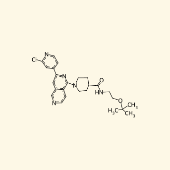 CC(C)(C)OCCNC(=O)C1CCN(c2nc(-c3ccnc(Cl)c3)cc3cnccc23)CC1